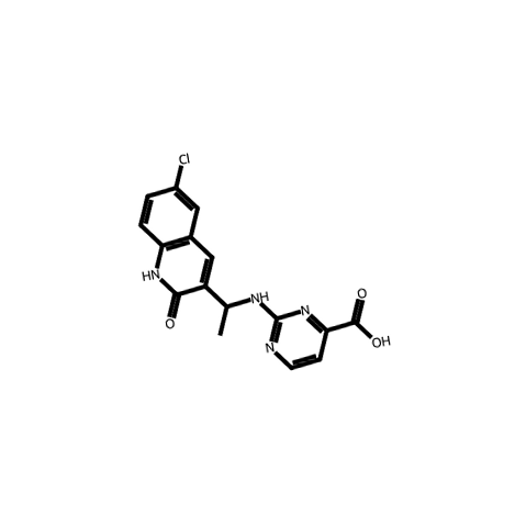 CC(Nc1nccc(C(=O)O)n1)c1cc2cc(Cl)ccc2[nH]c1=O